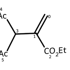 C=C(C(=O)OCC)C(C(C)=O)C(C)=O